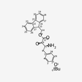 CC(C)(C)Oc1ccc(C[C@H](N)C(=O)C(=O)OCC2c3ccccc3-c3ccccc32)cc1